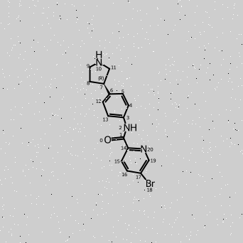 O=C(Nc1ccc([C@H]2CCNC2)cc1)c1ccc(Br)cn1